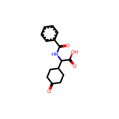 O=C1CCC(C(NC(=O)c2ccccc2)C(=O)O)CC1